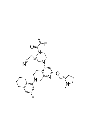 C=C(F)C(=O)N1CCN(c2cc(OC[C@@H]3CCCN3C)nc3c2CCN(c2cc(F)cc4c2CCCC4)C3)C[C@@H]1CC#N